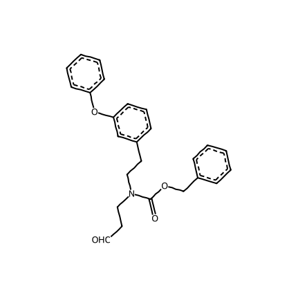 O=CCCN(CCc1cccc(Oc2ccccc2)c1)C(=O)OCc1ccccc1